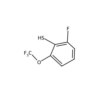 Fc1cccc(OC(F)(F)F)c1S